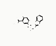 CCN(Sc1nc2ccccc2s1)S(=O)(=O)c1ccc(C)c(C(=O)OC)c1